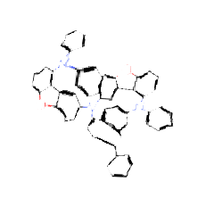 c1ccc(-c2ccc(N(c3ccc4oc5cccc(N(c6ccccc6)c6ccccc6)c5c4c3)c3ccc4oc5cccc(N(c6ccccc6)c6ccccc6)c5c4c3)cc2)cc1